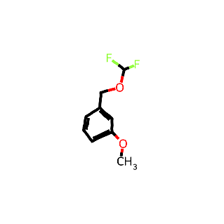 COc1cccc(COC(F)F)c1